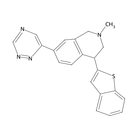 CN1Cc2cc(-c3cncnn3)ccc2C(c2cc3ccccc3s2)C1